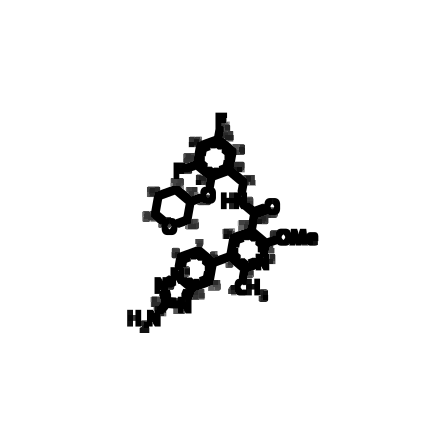 COc1nc(C)c(-c2ccn3nc(N)nc3c2)cc1C(=O)NCc1cc(F)cc(F)c1OC1CCCOC1